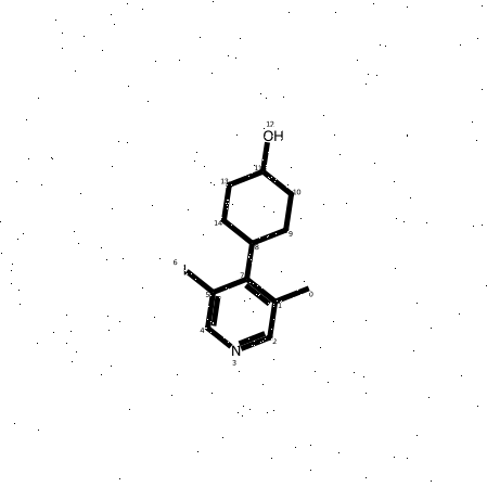 Cc1cncc(I)c1C1CCC(O)CC1